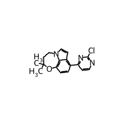 CC1(C)CCn2ccc3c(-c4ccnc(Cl)n4)ccc(c32)O1